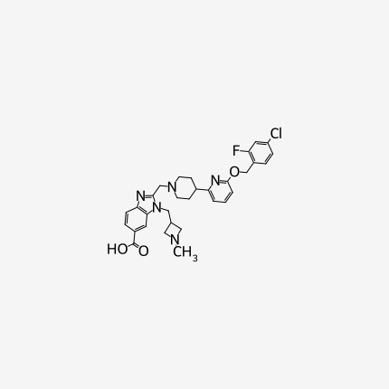 CN1CC(Cn2c(CN3CCC(c4cccc(OCc5ccc(Cl)cc5F)n4)CC3)nc3ccc(C(=O)O)cc32)C1